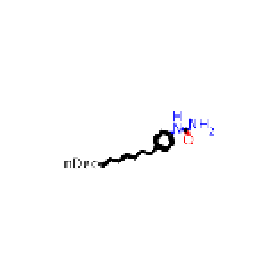 CCCCCCCCCCCCCCCCCc1ccc(NC(N)=O)cc1